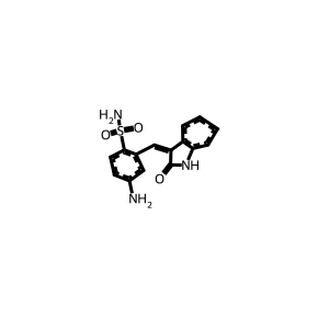 Nc1ccc(S(N)(=O)=O)c(/C=C2\C(=O)Nc3ccccc32)c1